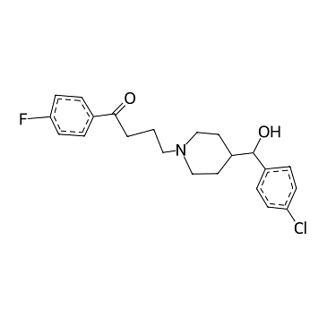 O=C(CCCN1CCC(C(O)c2ccc(Cl)cc2)CC1)c1ccc(F)cc1